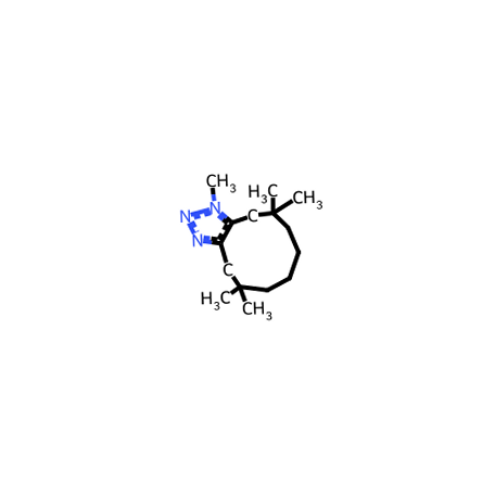 Cn1nnc2c1CC(C)(C)CCCCC(C)(C)C2